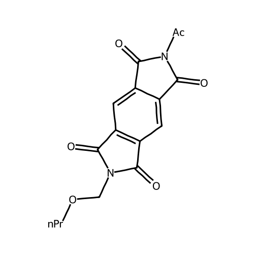 CCCOCn1c(=O)c2cc3c(=O)n(C(C)=O)c(=O)c3cc2c1=O